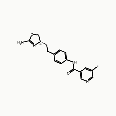 NC1=N[C@@H](CCc2ccc(NC(=O)c3cncc(F)c3)cc2)CO1